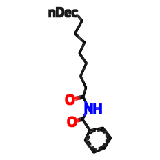 CCCCCCCCCCCCCCCCCC(=O)NC(=O)c1ccccc1